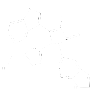 O=C1C(O)=C(c2c[nH]c3ccccc23)C(c2ccc(CO)o2)N1c1ccc2[nH]cnc2c1